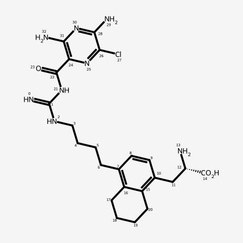 N=C(NCCCCc1ccc(C[C@H](N)C(=O)O)c2c1CCCC2)NC(=O)c1nc(Cl)c(N)nc1N